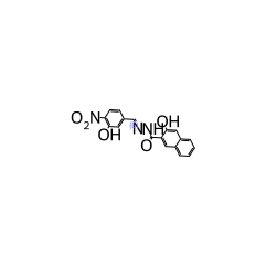 O=C(N/N=C/c1ccc([N+](=O)[O-])c(O)c1)c1cc2ccccc2cc1O